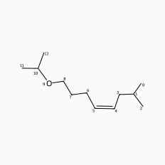 CC(C)C/C=C\CCCOC(C)C